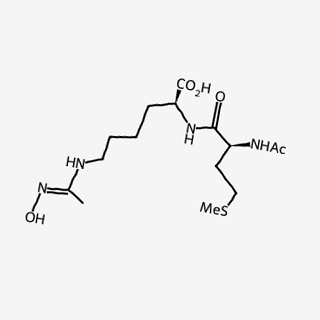 CSCC[C@H](NC(C)=O)C(=O)N[C@@H](CCCCN/C(C)=N/O)C(=O)O